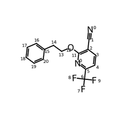 N#Cc1ccc(C(F)(F)F)nc1OCCc1ccccc1